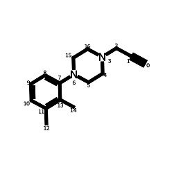 C#CCN1CCN(c2cccc(C)c2C)CC1